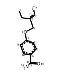 CC/C(=C\F)COc1ccc(C(N)=O)cc1